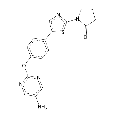 Nc1cnc(Oc2ccc(-c3cnc(N4CCCC4=O)s3)cc2)nc1